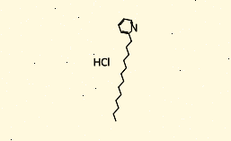 CCCCCCCCCCCCCc1ccccn1.Cl